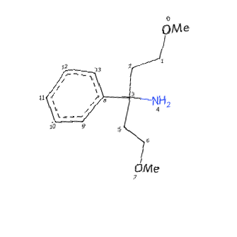 COCCC(N)(CCOC)c1c[c]ccc1